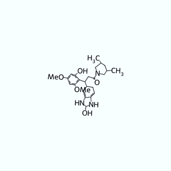 COc1cc(O)c(C(CC(=O)N2CC(C)CC(C)C2)C2C=C3NC(O)NC3=CC2)c(OC)c1